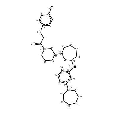 O=C(COc1ccc(Cl)cc1)N1CCCC(N2CCCCC(Nc3nccc(N4CCCCCC4)n3)C2)C1